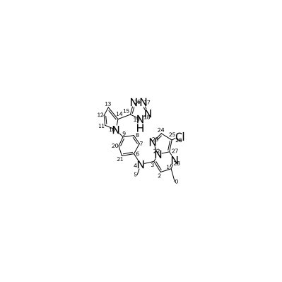 Cc1cc(N(C)c2ccc(-n3cccc3-c3nnn[nH]3)cc2)n2ncc(Cl)c2n1